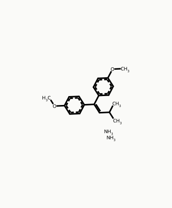 COc1ccc(C(=CC(C)C)c2ccc(OC)cc2)cc1.N.N